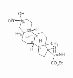 CCC[C@@]1(O)CC[C@H]2[C@@H](CC[C@@H]3[C@@H]2CCC2(C)[C@H]3CCC2(O)C(=N)C(=O)OCC)C1